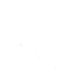 C=C(C)C(C(=O)O)N1C(=O)C2(C)N=C(Oc3ccccc3)SC12